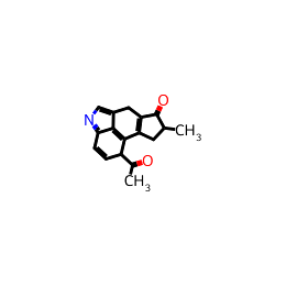 CC(=O)C1C=CC2=NC=C3CC4=C(CC(C)C4=O)C1=C32